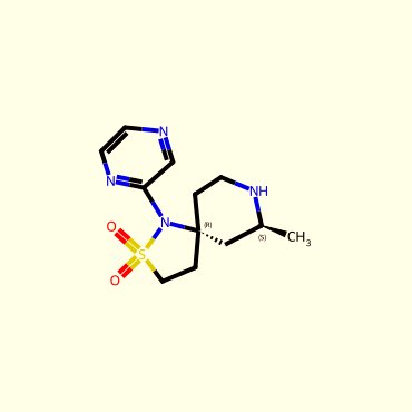 C[C@H]1C[C@]2(CCN1)CCS(=O)(=O)N2c1cnccn1